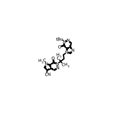 Cn1cc(C#N)c2cnn(C(C)(C)CCn3cnc4cnn(C(C)(C)C)c(=O)c43)c(=O)c21